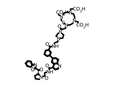 O=C(O)CN1CCN(CC(=O)O)CCN(CC(=O)N2CCN(CCNC(=O)c3cccc(-c4ccc5nccc(C(=O)NCC(=O)N6CCC[C@H]6C(=O)c6nc7ccccc7o6)c5c4)c3)CC2)CCN(CC(=O)O)CC1